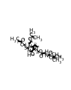 CCC(=O)OCSC1NC(=O)c2c(ccn2COC(=O)CNC(=O)OC(C)(C)C)N1CCOC(C)C